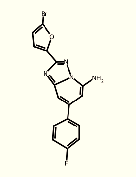 Nc1cc(-c2ccc(F)cc2)cc2nc(-c3ccc(Br)o3)nn12